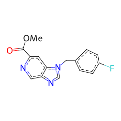 COC(=O)c1cc2c(cn1)ncn2Cc1ccc(F)cc1